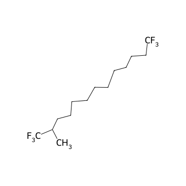 CC(CCCCCCCCCCC(F)(F)F)C(F)(F)F